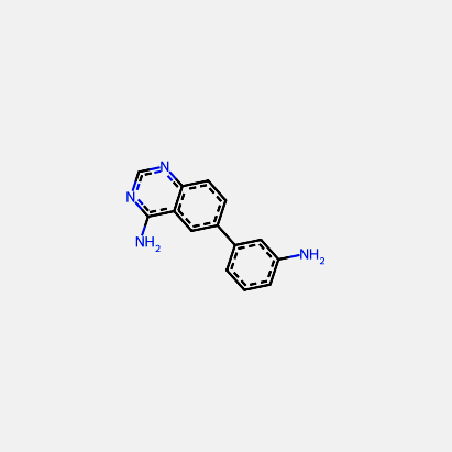 Nc1cccc(-c2ccc3ncnc(N)c3c2)c1